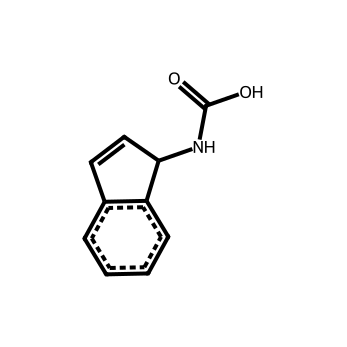 O=C(O)NC1C=Cc2ccccc21